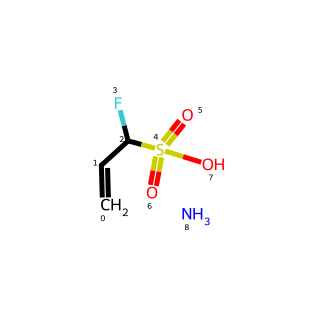 C=CC(F)S(=O)(=O)O.N